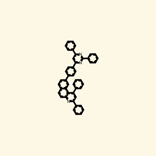 c1ccc(-c2cc(-c3ccc(-c4ccc5ccc6nc(-c7ccccc7)cc(-c7ccccc7)c6c5c4)cc3)nc(-c3ccccc3)n2)cc1